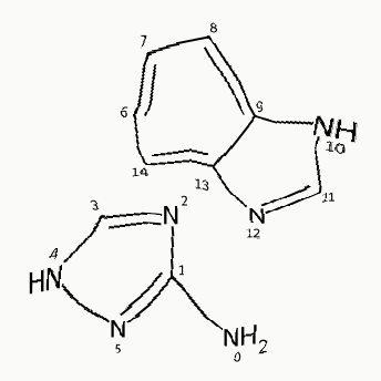 Nc1nc[nH]n1.c1ccc2[nH]cnc2c1